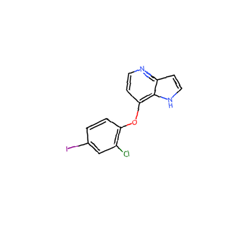 Clc1cc(I)ccc1Oc1ccnc2cc[nH]c12